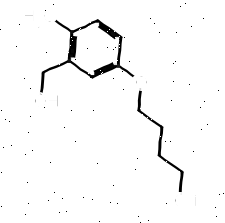 [CH2]c1ccc(OCCCCC)cc1CO